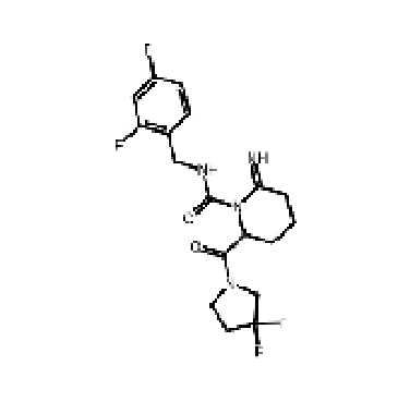 N=C1CCCC(C(=O)N2CCC(F)(F)C2)N1C(=O)NCc1ccc(F)cc1F